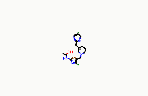 CC(O)Nc1nc(F)c(CN2CCC[C@H](Cc3ncc(F)cn3)C2)s1